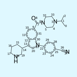 CC(C)N1CCN(C(=O)c2ccc3c(C4CCCNC4)cn(-c4ccc(C#N)cc4)c3c2)CC1